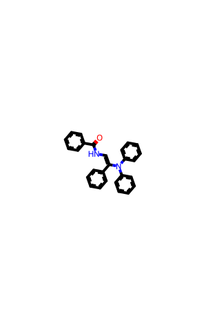 O=C(N/C=C(\c1ccccc1)N(c1ccccc1)c1ccccc1)c1ccccc1